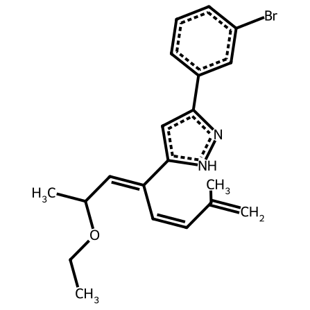 C=C(C)/C=C\C(=C/C(C)OCC)c1cc(-c2cccc(Br)c2)n[nH]1